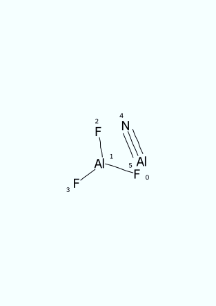 [F][Al]([F])[F].[N]#[Al]